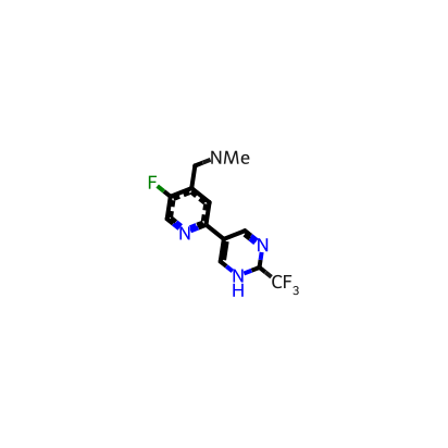 CNCc1cc(C2=CNC(C(F)(F)F)N=C2)ncc1F